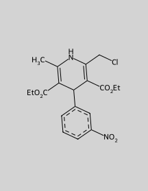 CCOC(=O)C1=C(C)NC(CCl)=C(C(=O)OCC)C1c1cccc([N+](=O)[O-])c1